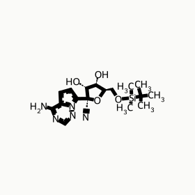 CC(C)(C)[Si](C)(C)OC[C@H]1O[C@@](C#N)(c2ccc3c(N)ncnn23)[C@H](O)[C@@H]1O